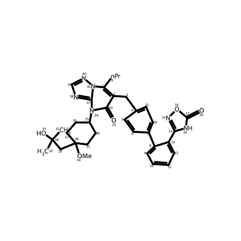 CCCc1c(Cc2ccc(-c3ccccc3-c3noc(=O)[nH]3)cc2)c(=O)n(C2CCC(CC(C)(C)O)(OC)CC2)c2ncnn12